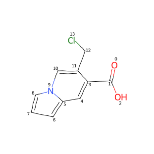 O=C(O)c1cc2cccn2cc1CCl